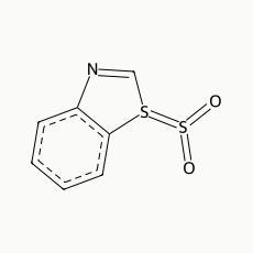 O=S(=O)=S1C=Nc2ccccc21